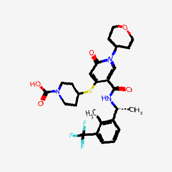 Cc1c([C@@H](C)NC(=O)c2cn(C3CCOCC3)c(=O)cc2SC2CCN(C(=O)O)CC2)cccc1C(F)(F)F